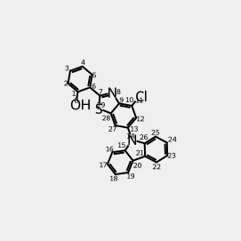 Oc1ccccc1-c1nc2c(Cl)cc(-n3c4ccccc4c4ccccc43)cc2s1